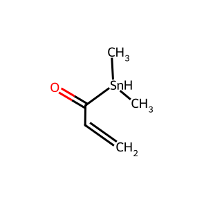 C=C[C](=O)[SnH]([CH3])[CH3]